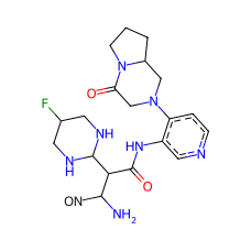 NC(N=O)C(C(=O)Nc1cnccc1N1CC(=O)N2CCCC2C1)C1NCC(F)CN1